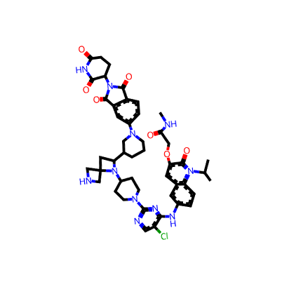 CNC(=O)COc1cc2cc(Nc3nc(N4CCC(N5C(C6CCCN(c7ccc8c(c7)C(=O)N(C7CCC(=O)NC7=O)C8=O)C6)CC56CNC6)CC4)ncc3Cl)ccc2n(C(C)C)c1=O